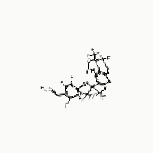 C=Cc1c(F)c(F)c(OC(c2cccc(C(OC)(C(F)(F)F)C(F)(F)F)c2)(C(F)(F)F)C(F)(F)F)c(F)c1F